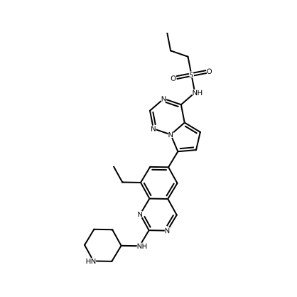 CCCS(=O)(=O)Nc1ncnn2c(-c3cc(CC)c4nc(NC5CCCNC5)ncc4c3)ccc12